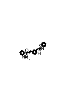 Nc1ccccc1NC(=O)/C=C/c1cccc(CNc2nc3ccccc3s2)c1